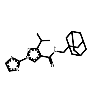 CC(C)c1nn(-c2nccs2)cc1C(=O)NCC12CC3CC(CC(C3)C1)C2